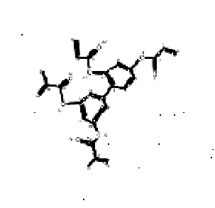 C=CC(=O)Oc1ccc(-c2cc(OC(=O)C(=C)C)cc(OC(=O)C(=C)C)c2)c(OC(=O)C=C)c1